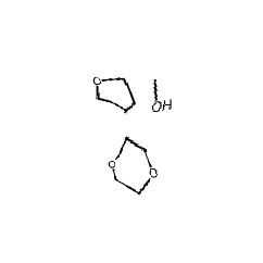 C1CCOC1.C1COCCO1.CO